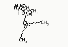 CCCCCCCCOc1ccc(CC=CN[C@H]2[C@@H](OC)O[C@@H]3COC(C)(C)O[C@H]3[C@@H]2O)cc1OCCCCCCCC